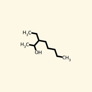 CCCCCC(CC)C(C)O